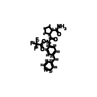 NC(=O)C1CCCC1C(=O)N(OC(=O)C(F)(F)F)c1ccc(Cc2ccncc2)cc1